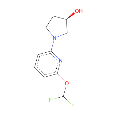 O[C@@H]1CCN(c2cccc(OC(F)F)n2)C1